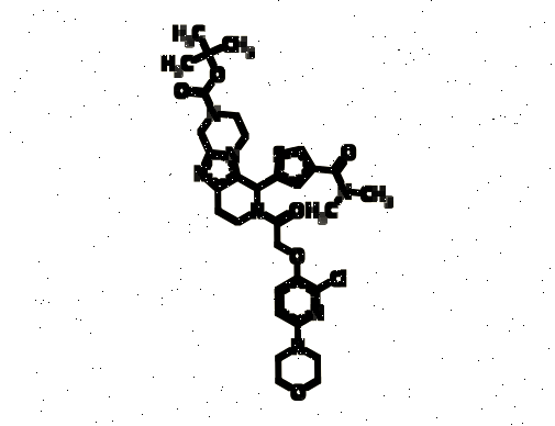 CN(C)C(=O)c1csc(C2c3c(nc4n3CCN(C(=O)OC(C)(C)C)C4)CCN2C(=O)COc2ccc(N3CCOCC3)nc2Cl)c1